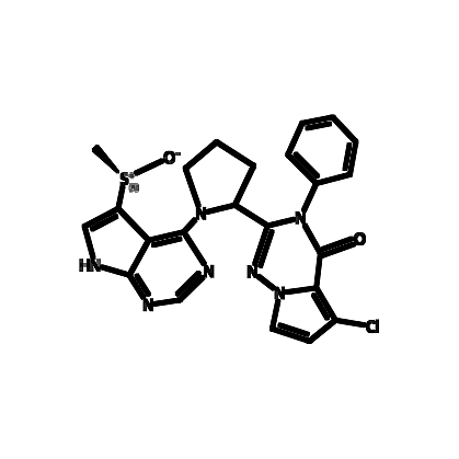 C[S@@+]([O-])c1c[nH]c2ncnc(N3CCCC3c3nn4ccc(Cl)c4c(=O)n3-c3ccccc3)c12